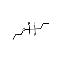 CCCOC(F)(F)C(F)(F)CCC